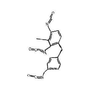 Cc1c(N=C=O)ccc(Cc2ccc(N=C=O)cc2)c1N=C=O